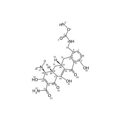 CCCOC(=O)NCc1ccc(O)c2c1C[C@H]1C[C@@H]3C(C(=O)C(C(N)=O)=C(O)[C@H]3N(C)C)C(O)=C1C2=O